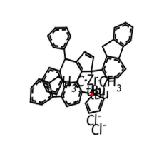 CC(C)(C)c1ccc2c(c1C1=C(C(c3ccccc3)c3ccccc3)C=C[C]1(c1c(C(C)(C)C)ccc3c1Cc1ccccc1-3)[Zr]([CH3])([CH3])[CH]1C=CC=C1)Cc1ccccc1-2.[Cl-].[Cl-]